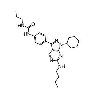 CCCCNc1ncc2c(-c3ccc(NC(=O)NCCC)cc3)nn(C3CCCCC3)c2n1